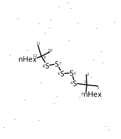 CCCCCCC(C)(C)SSSSSC(C)(C)CCCCCC